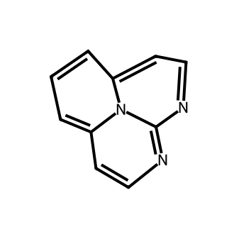 C1=CC2=CC=NC3=NC=CC(=C1)N23